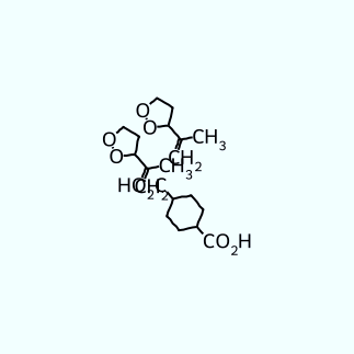 C=C(C)C1CCOO1.C=C(C)C1CCOO1.O=C(O)C1CCC(C(=O)O)CC1